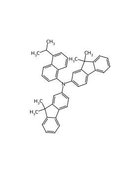 CC(C)c1cccc2c(N(c3ccc4c(c3)C(C)(C)c3ccccc3-4)c3ccc4c(c3)C(C)(C)c3ccccc3-4)cccc12